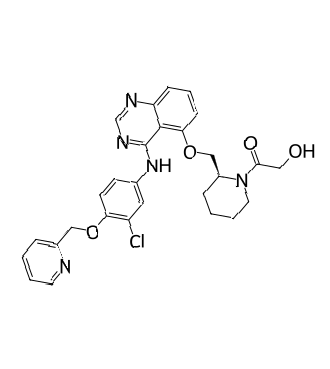 O=C(CO)N1CCCC[C@H]1COc1cccc2ncnc(Nc3ccc(OCc4ccccn4)c(Cl)c3)c12